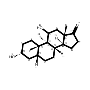 C[C@]12CC[C@@H](O)C[C@H]1CC[C@@H]1[C@@H]2C(O)C[C@]2(C)C(=O)CC[C@@H]12